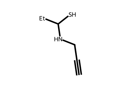 C#CCNC(S)CC